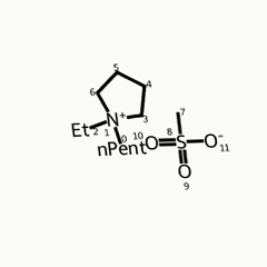 CCCCC[N+]1(CC)CCCC1.CS(=O)(=O)[O-]